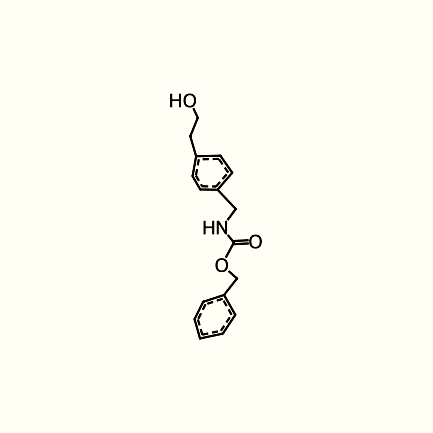 O=C(NCc1ccc(CCO)cc1)OCc1ccccc1